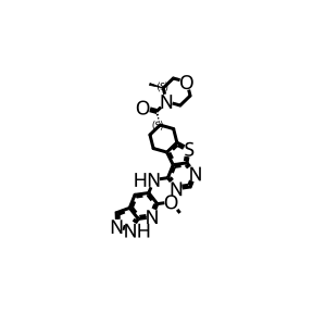 COc1nc2[nH]ncc2cc1Nc1ncnc2sc3c(c12)CC[C@H](C(=O)N1CCOC[C@@H]1C)C3